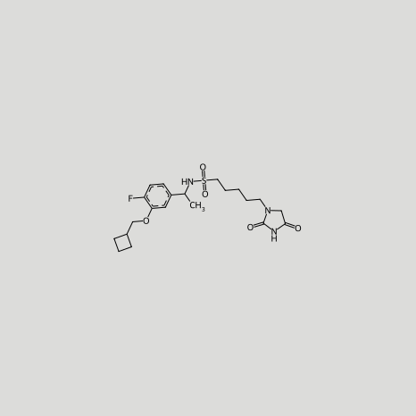 CC(NS(=O)(=O)CCCCCN1CC(=O)NC1=O)c1ccc(F)c(OCC2CCC2)c1